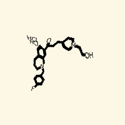 Cl.Cl.O=C(CCC1CCN(CCO)CC1)c1ccc2c(c1)CN(Cc1ccc(F)cc1)CCC2